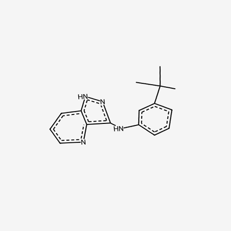 CC(C)(C)c1cccc(Nc2n[nH]c3cccnc23)c1